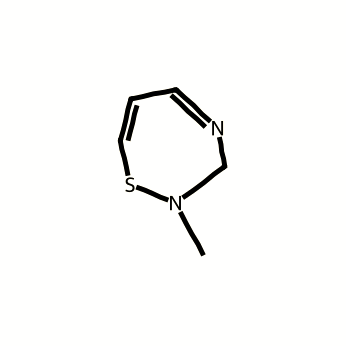 CN1CN=CC=CS1